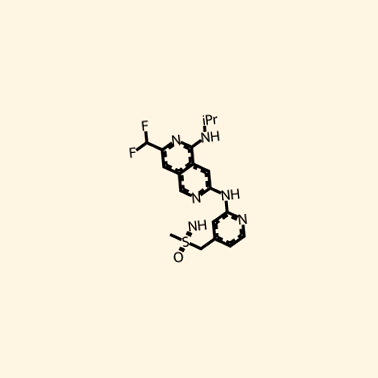 CC(C)Nc1nc(C(F)F)cc2cnc(Nc3cc(CS(C)(=N)=O)ccn3)cc12